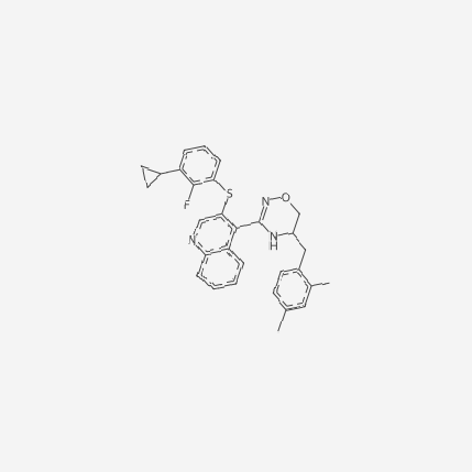 Cc1ccc(CC2CON=C(c3c(Sc4cccc(C5CC5)c4F)cnc4ccccc34)N2)c(C)c1